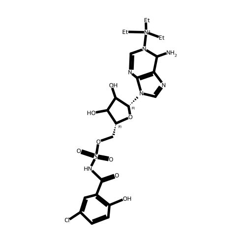 CC[N+](CC)(CC)N1C=Nc2c(ncn2[C@@H]2O[C@H](COS(=O)(=O)NC(=O)c3cc(Cl)ccc3O)C(O)C2O)C1N